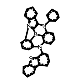 c1ccc(N2c3cccc4c3B3c5c(cccc5-n5c3c2c2ccccc25)N4c2cccc3c2sc2ccccc23)cc1